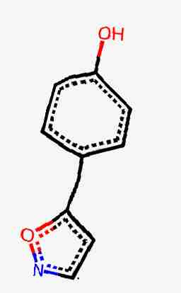 Oc1ccc(-c2c[c]no2)cc1